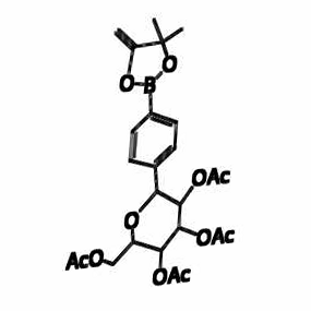 C=C1OB(c2ccc(C3OC(COC(C)=O)C(OC(C)=O)C(OC(C)=O)C3OC(C)=O)cc2)OC1(C)C